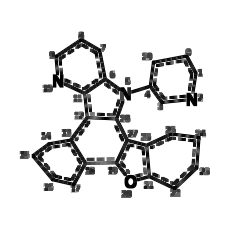 c1cncc(-n2c3cccnc3c3c4ccccc4c4oc5ccccc5c4c32)c1